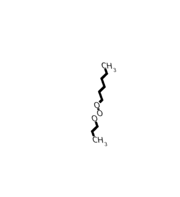 CCCCCCOOOCCC